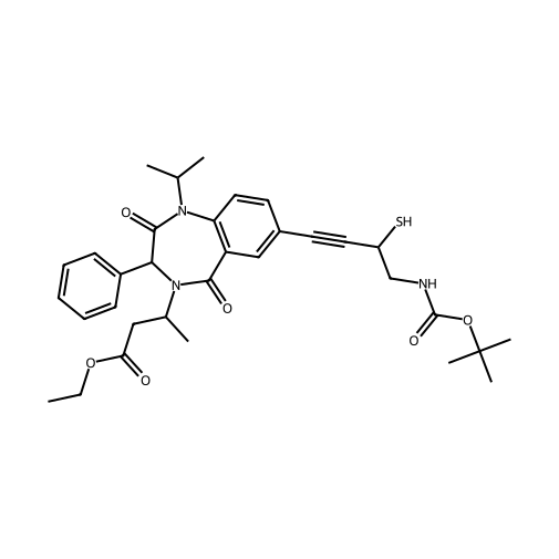 CCOC(=O)CC(C)N1C(=O)c2cc(C#CC(S)CNC(=O)OC(C)(C)C)ccc2N(C(C)C)C(=O)C1c1ccccc1